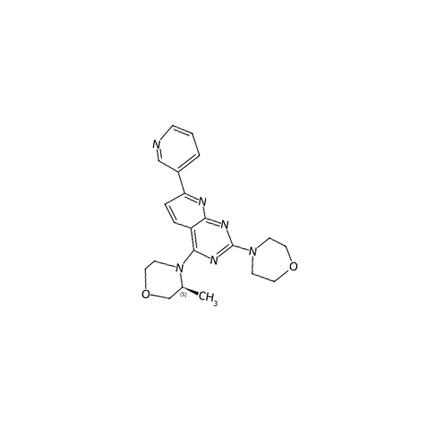 C[C@H]1COCCN1c1nc(N2CCOCC2)nc2nc(-c3cccnc3)ccc12